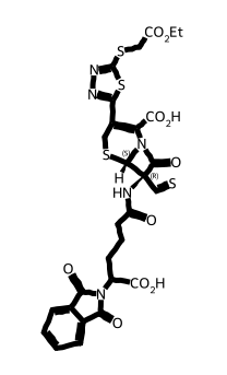 CCOC(=O)CSc1nnc(C2=C(C(=O)O)N3C(=O)[C@@](C=S)(NC(=O)CCCC(C(=O)O)N4C(=O)c5ccccc5C4=O)[C@@H]3SC2)s1